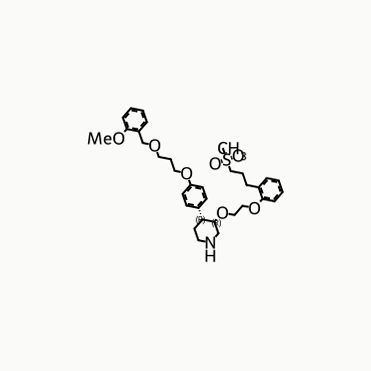 COc1ccccc1COCCCOc1ccc([C@H]2CCNC[C@@H]2OCCOc2ccccc2CCCS(C)(=O)=O)cc1